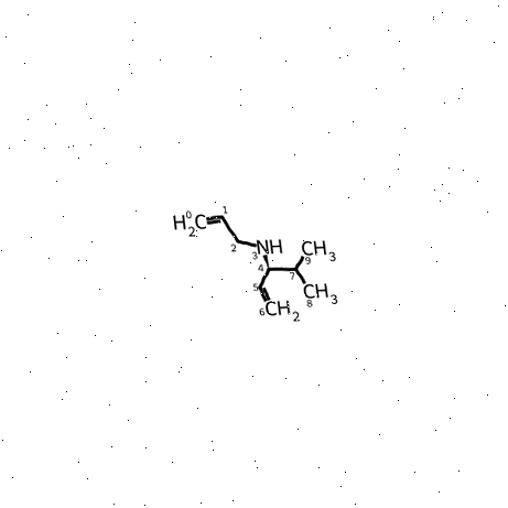 C=CCN[C@H](C=C)C(C)C